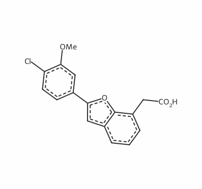 COc1cc(-c2cc3cccc(CC(=O)O)c3o2)ccc1Cl